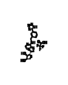 O=C(O)C(F)(F)F.O[C@@H]1[C@H](O)CS[C@H]1c1cnc2c(NCc3cccc(-c4nnn[nH]4)c3)nccn12